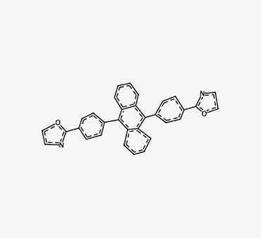 c1ccc2c(-c3ccc(-c4ncco4)cc3)c3ccccc3c(-c3ccc(-c4ncco4)cc3)c2c1